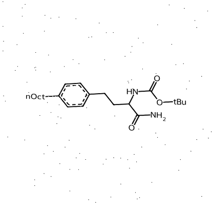 CCCCCCCCc1ccc(CCC(NC(=O)OC(C)(C)C)C(N)=O)cc1